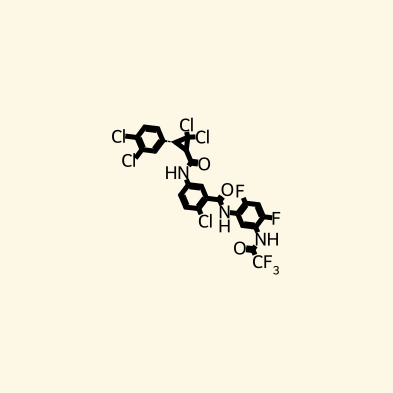 O=C(Nc1cc(NC(=O)C(F)(F)F)c(F)cc1F)c1cc(NC(=O)C2[C@H](c3ccc(Cl)c(Cl)c3)C2(Cl)Cl)ccc1Cl